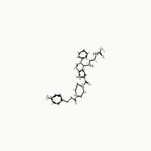 CC(=O)NCCNC1c2cc(C(=O)N3CCN(C(=O)CCc4ccc(Cl)cc4)CC3)[nH]c2N=CN1c1ccccc1